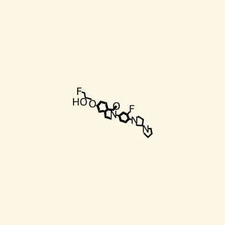 O=c1c2ccc(OCC(O)CF)cc2ccn1-c1ccc(N2CC[C@@H](N3CCCC3)C2)c(F)c1